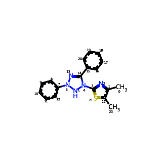 Cc1nc(N2NN(c3ccccc3)N=C2c2ccccc2)sc1C